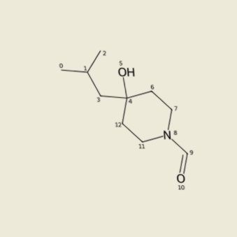 CC(C)CC1(O)CCN(C=O)CC1